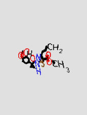 C=CCCc1nc(NC(=O)C2(C3CCC4OCO[C@@H]4C3)CC2)sc1C(=O)OCC